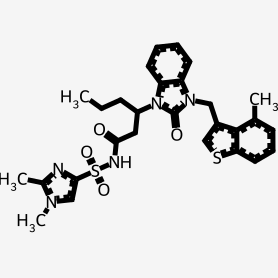 CCCC(CC(=O)NS(=O)(=O)c1cn(C)c(C)n1)n1c(=O)n(Cc2csc3cccc(C)c23)c2ccccc21